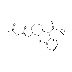 CC(=O)OC1=CC2CN(C(C(=O)C3CC3)c3ccccc3F)CCC2S1